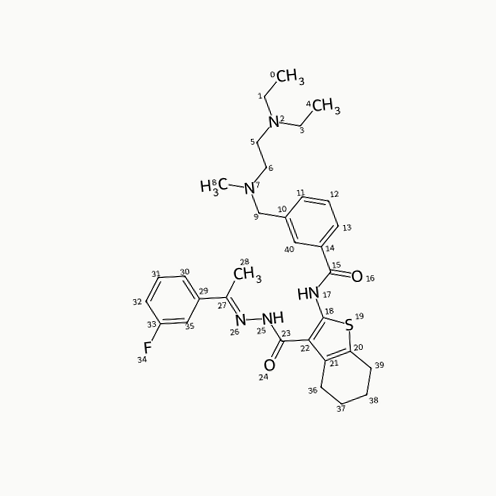 CCN(CC)CCN(C)Cc1cccc(C(=O)Nc2sc3c(c2C(=O)N/N=C(\C)c2cccc(F)c2)CCCC3)c1